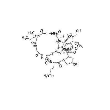 CC[C@H](C)[C@@H]1NC(=O)CNC(=O)[C@@H]2Cc3c([nH]c4cc(OC)ccc34)SC[C@@H](NC(=O)CNC1=O)C(=O)N[C@@H](CCC(N)=O)C(=O)N1C[C@H](O)CC1C(=O)N[C@H]([C@@H](C)[C@@H](O)CO)C(=O)N2